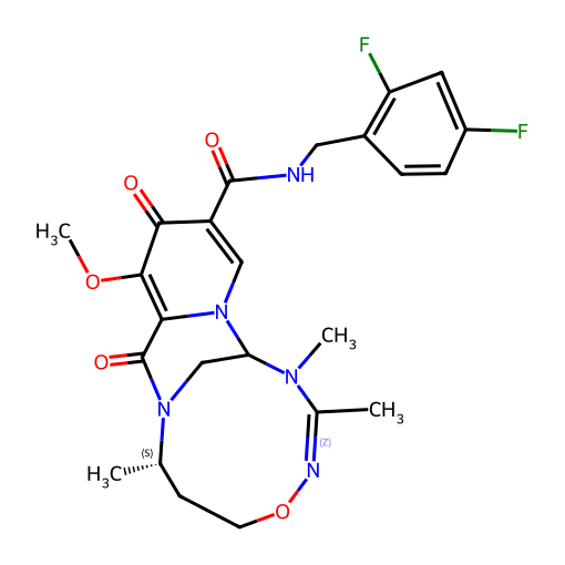 COc1c2n(cc(C(=O)NCc3ccc(F)cc3F)c1=O)C1CN(C2=O)[C@@H](C)CCO/N=C(/C)N1C